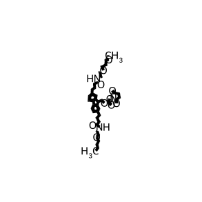 CCCCOCCNC(=O)CCCc1ccc2c(c1)C(COC(=O)ON1C(=O)CCC1=O)c1cc(CCCC(=O)NCCOCCCOC)ccc1-2